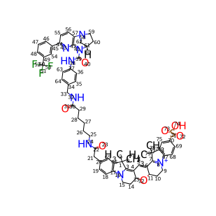 CC1(C)C2=C3C=C4C5=[N+](CCC4OC3CCN2c2ccc(CC(=O)NCCCCCC(=O)NCc3ccc(NC(=O)N4c6nc(-c7cccc(C(F)(F)F)c7)ccc6N6CC[C@H]4C6)cc3)cc21)c1ccc(S(=O)(=O)O)cc1C5(C)C